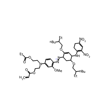 C=CC(=O)OCCN(CCOC(=O)CC)c1ccc(/N=N/C2CC(OCC(CC)CCCC)C(NC3=C([N+](=O)[O-])C=C([N+](=O)[O-])CC3)C=C2OCC(CC)CCCC)c(OC)c1